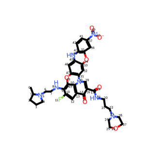 CC1CCCN1CCNc1c(F)cc2c(=O)c(C(=O)NCCCN3CCOCC3)cn3c4cc5oc6cc([N+](=O)[O-])ccc6[nH]c5cc4oc1c23